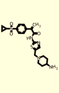 C=C(C(=O)Nc1ncc(CN2CCC(N)CC2)s1)c1ccc(S(=O)(=O)C2CC2)cc1